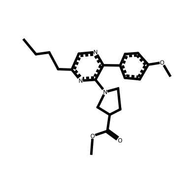 CCCCc1cnc(-c2ccc(OC)cc2)c(N2CCC(C(=O)OC)C2)n1